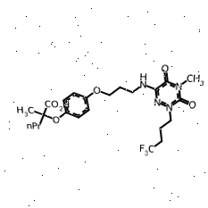 CCCC(C)(Oc1ccc(OCCCNc2nn(CCCC(F)(F)F)c(=O)n(C)c2=O)cc1)C(=O)O